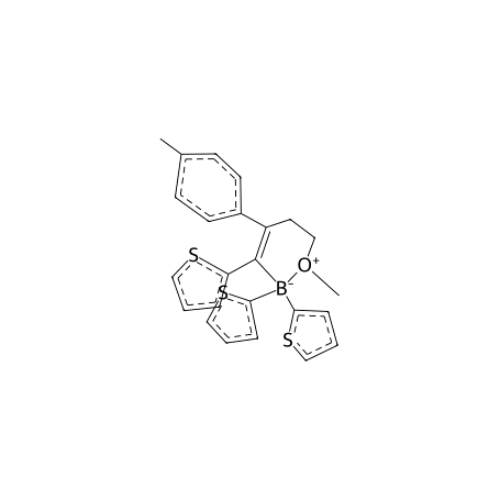 Cc1ccc(C2=C(c3cccs3)[B-](c3cccs3)(c3cccs3)[O+](C)CC2)cc1